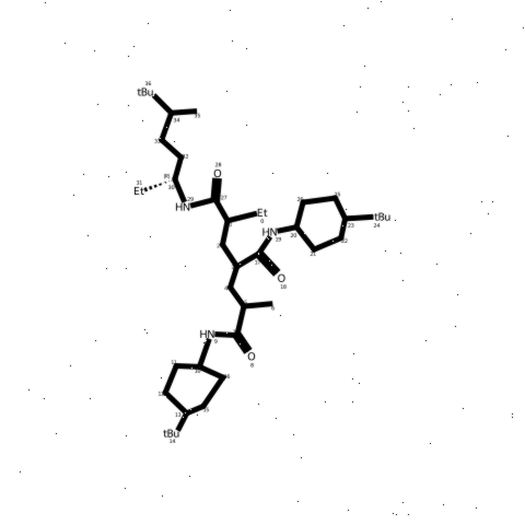 CCC(CC(CC(C)C(=O)NC1CCC(C(C)(C)C)CC1)C(=O)NC1CCC(C(C)(C)C)CC1)C(=O)N[C@H](CC)CCC(C)C(C)(C)C